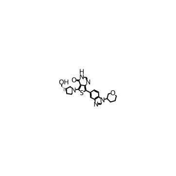 O=c1[nH]cnc2c(-c3ccc4c(c3)ncn4C3CCCOC3)sc(N3CC[C@H](CO)C3)c12